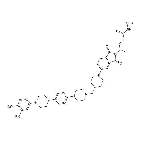 CC(CCC(=O)NC=O)N1C(=O)c2ccc(N3CCC(CN4CCN(c5ccc(C6CCN(c7ccc(C#N)c(C(F)(F)F)c7)CC6)cc5)CC4)CC3)cc2C1=O